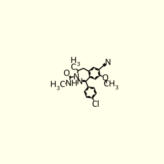 CNC(=O)N1N=C(c2ccc(Cl)cc2)c2cc(OC)c(C#N)cc2CC1C